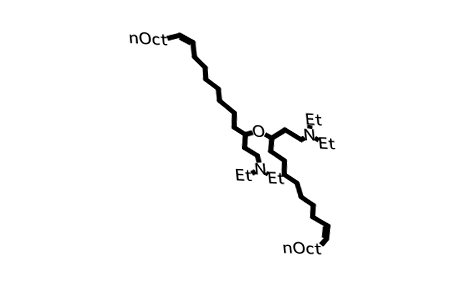 CCCCCCCC/C=C\CCCCCCCC(CCN(CC)CC)OC(CCCCCCC/C=C\CCCCCCCC)CCN(CC)CC